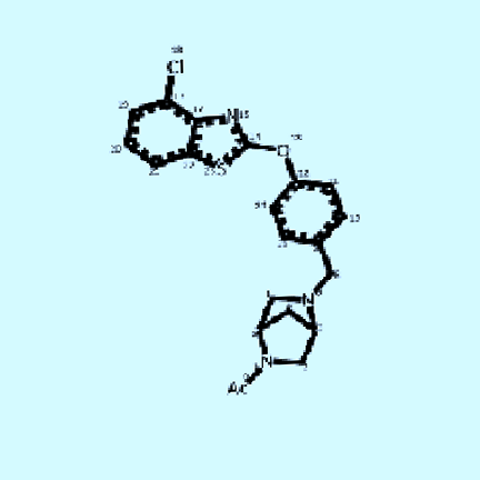 CC(=O)N1CC2CC1CN2Cc1ccc(Oc2nc3c(Cl)cccc3s2)cc1